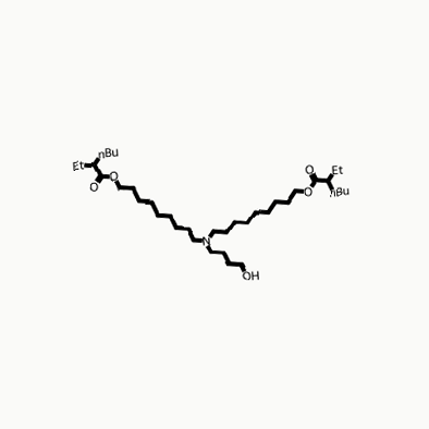 CCCCC(CC)C(=O)OCCCCCCCCCN(CCCCO)CCCCCCCCCOC(=O)C(CC)CCCC